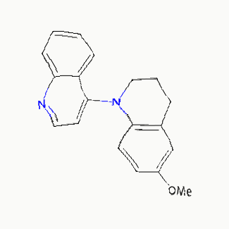 COc1ccc2c(c1)CCCN2c1ccnc2ccccc12